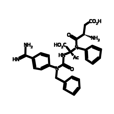 CC(=O)[C@@](NC(=O)N(Cc1ccccc1)c1ccc(C(=N)N)cc1)(C(=O)O)N(C(=O)[C@@H](N)CC(=O)O)c1ccccc1